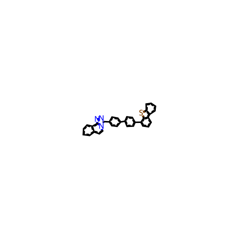 c1ccc2c(c1)ccn1c(-c3ccc(-c4ccc(-c5cccc6c5sc5ccccc56)cc4)cc3)nnc21